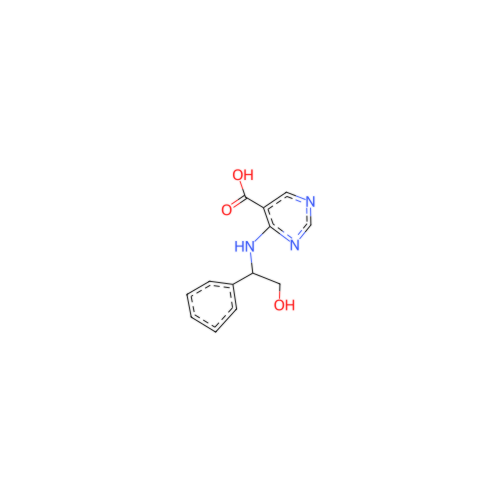 O=C(O)c1cncnc1NC(CO)c1ccccc1